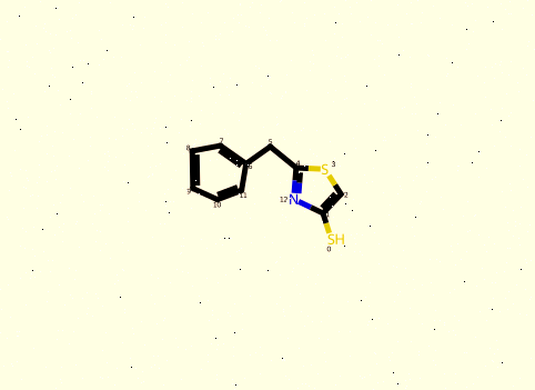 Sc1csc(Cc2ccccc2)n1